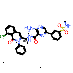 CNS(=O)(=O)c1cccc(-c2cnc(N)c(C(=O)N[C@@H](C)c3cc4cccc(Cl)c4c(=O)n3-c3ccccc3)n2)c1